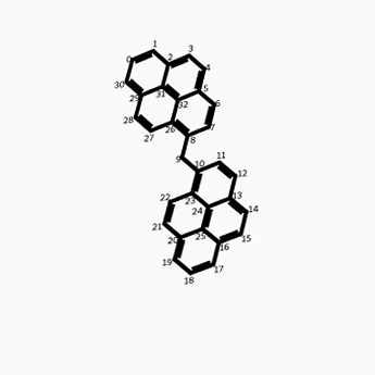 c1cc2ccc3ccc(Cc4ccc5ccc6cccc7ccc4c5c67)c4ccc(c1)c2c34